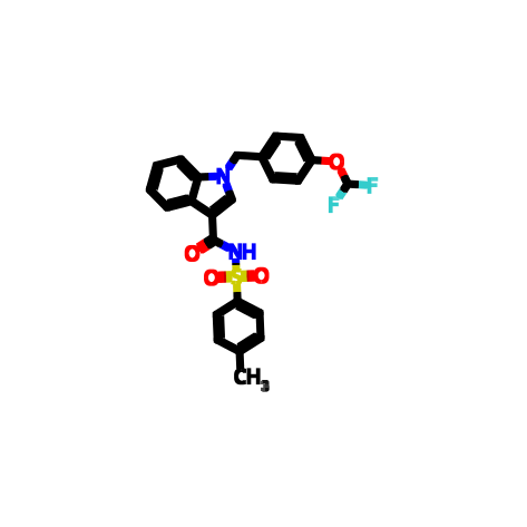 Cc1ccc(S(=O)(=O)NC(=O)c2cn(Cc3ccc(OC(F)F)cc3)c3ccccc23)cc1